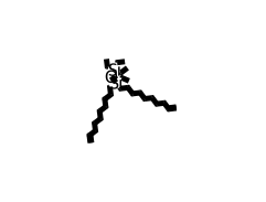 C=CCCCCCCCC[Si](CC)(CCCCCCCCC=C)O[Si](CC)(CC)CC